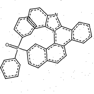 O=P(c1ccccc1)(c1ccccc1)c1ccc2ccc3c4ccccc4c4nc5ccccc5n4c3c2c1